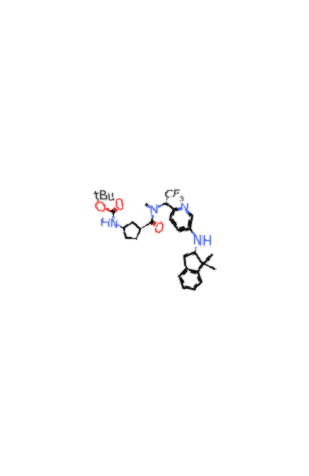 CN(C(=O)[C@H]1CC[C@@H](NC(=O)OC(C)(C)C)C1)[C@@H](c1ccc(N[C@H]2Cc3ccccc3C2(C)C)cn1)C(F)(F)F